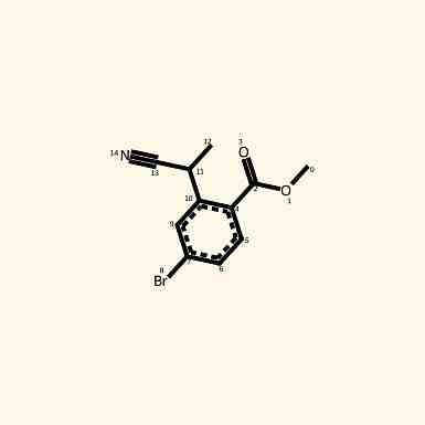 COC(=O)c1ccc(Br)cc1C(C)C#N